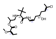 C/C=C(/OC)C(=O)OC(C)CN[C@H](C(=O)N/C=C\C[C@@H](O)C/C=C(\C)Cl)C(C)(C)C